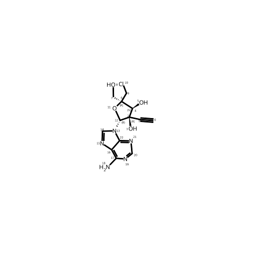 C#C[C@@]1(O)[C@H](O)[C@](CO)(CCl)O[C@H]1n1cnc2c(N)ncnc21